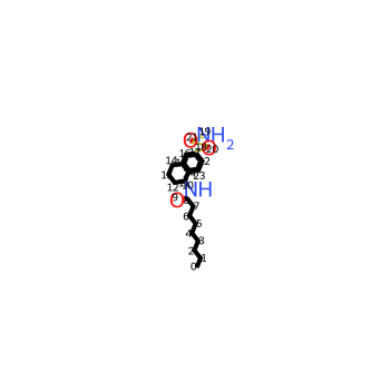 CCCCCCCCC(=O)NC1CCCc2cc(S(N)(=O)=O)ccc21